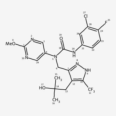 COc1ncc(N(Cc2n[nH]c(C(F)(F)F)c2CC(C)(C)O)C(=O)Nc2ccc(F)c(Cl)c2)cn1